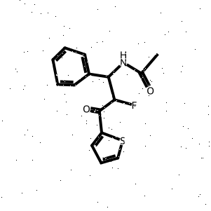 CC(=O)NC(c1ccccc1)C(F)C(=O)c1cccs1